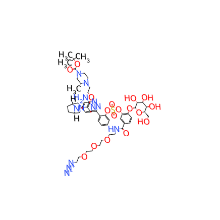 C[C@@H]1CN(C(=O)OC(C)(C)C)CCN1CCOc1cc(N2[C@@H]3CC[C@@H]2CN(c2cc(-c4ccccc4OS(=O)(=O)Oc4cc(C(=O)NCCOCCOCCOCCN=[N+]=[N-])ccc4O[C@@H]4O[C@H](CO)[C@H](O)[C@H](O)[C@H]4O)nnc2N)C3)ccn1